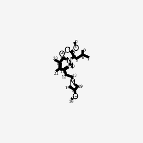 COC(=O)C(CC(C)C)n1nc(CCN2CC(OC)C2)c(C)c(C)c1=O